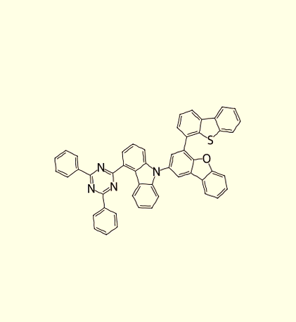 c1ccc(-c2nc(-c3ccccc3)nc(-c3cccc4c3c3ccccc3n4-c3cc(-c4cccc5c4sc4ccccc45)c4oc5ccccc5c4c3)n2)cc1